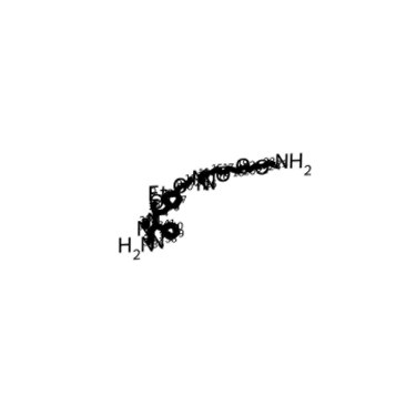 CCOCC(Cc1ccc(OCCn2cc(COCCOCCOCCN)nn2)cc1)n1cnc2c(N)nc3ccccc3c21